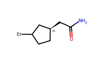 CCC1CC[C@H](CC(N)=O)C1